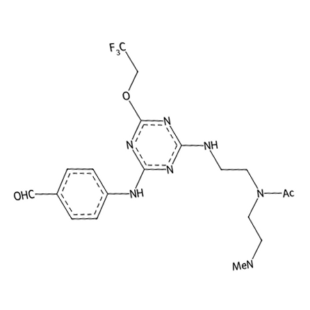 CNCCN(CCNc1nc(Nc2ccc(C=O)cc2)nc(OCC(F)(F)F)n1)C(C)=O